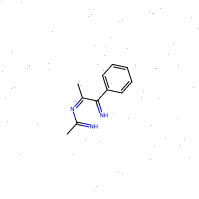 CC(=N)/N=C(/C)C(=N)c1ccccc1